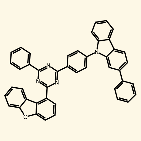 c1ccc(-c2ccc3c4ccccc4n(-c4ccc(-c5nc(-c6ccccc6)nc(-c6cccc7oc8ccccc8c67)n5)cc4)c3c2)cc1